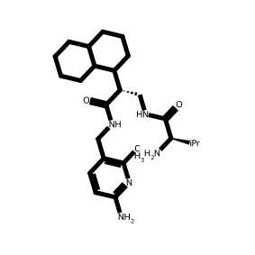 Cc1nc(N)ccc1CNC(=O)[C@@H](CNC(=O)[C@H](N)C(C)C)C1CCCC2CCCCC21